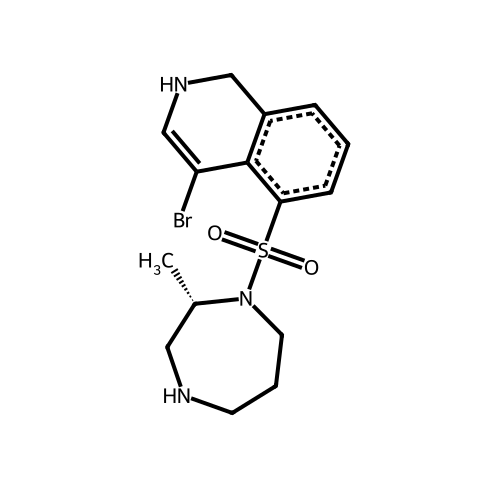 C[C@H]1CNCCCN1S(=O)(=O)c1cccc2c1C(Br)=CNC2